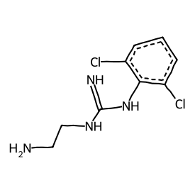 N=C(NCCN)Nc1c(Cl)cccc1Cl